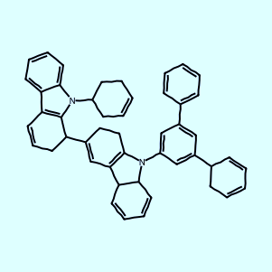 C1=CCC(c2cc(-c3ccccc3)cc(N3C4=C(C=C(C5CC=Cc6c5n(C5CC=CCC5)c5ccccc65)CC4)C4C=CC=CC43)c2)C=C1